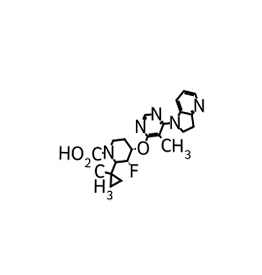 Cc1c(O[C@H]2CCN(C(=O)O)C(C3(C)CC3)[C@H]2F)ncnc1N1CCc2ncccc21